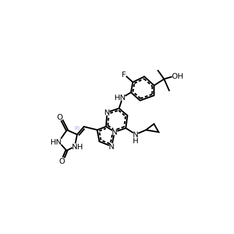 CC(C)(O)c1ccc(Nc2cc(NC3CC3)n3ncc(/C=C4\NC(=O)NC4=O)c3n2)c(F)c1